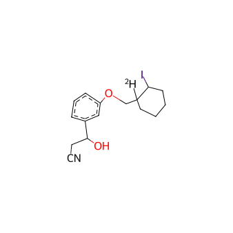 [2H]C1(COc2cccc(C(O)CC#N)c2)CCCCC1I